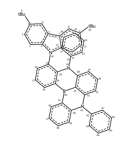 CC(C)(C)c1ccc2c(c1)c1cc(C(C)(C)C)ccc1n2-c1cccc2c1N(c1ccccc1)c1cccc3c1B2c1ccccc1N3c1ccccc1